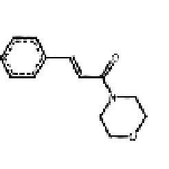 O=C(C=Cc1ccccc1)N1CCOCC1